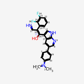 CN(C)c1ccc(-c2cnc3[nH]cc(/C(O)=C(/C=N)c4cccc(F)c4F)c3c2)cc1